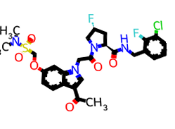 CC(=O)c1cn(CC(=O)N2C[C@H](F)C[C@H]2C(=O)NCc2cccc(Cl)c2F)c2cc(OCS(=O)(=O)N(C)C)ccc12